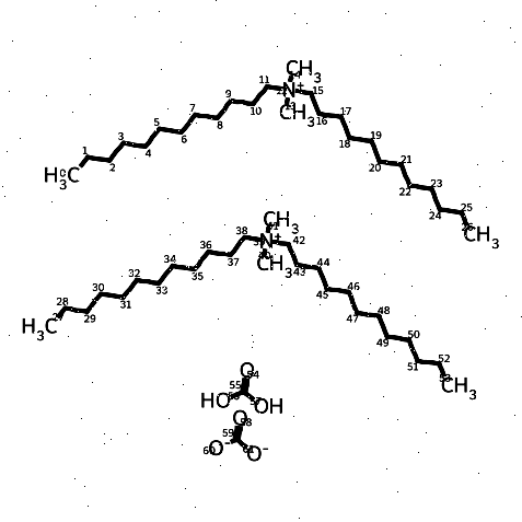 CCCCCCCCCCCC[N+](C)(C)CCCCCCCCCCCC.CCCCCCCCCCCC[N+](C)(C)CCCCCCCCCCCC.O=C(O)O.O=C([O-])[O-]